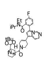 CCN(C(=O)c1cc(F)ccc1-c1cc(C2=CCN(C(=O)[C@H]3C4CCC(CC4)N3C(=O)OC(C)(C)C)CC2)c2ccncn12)C(C)C